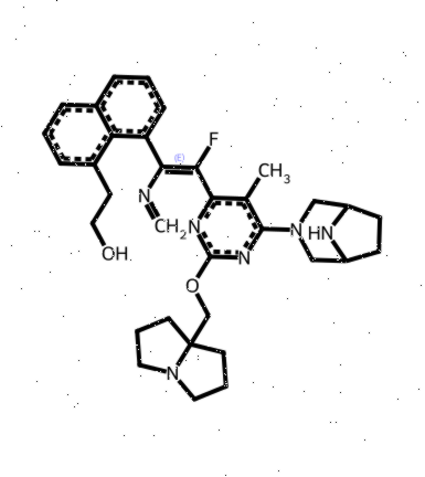 C=N/C(=C(/F)c1nc(OCC23CCCN2CCC3)nc(N2CC3CCC(C2)N3)c1C)c1cccc2cccc(CCO)c12